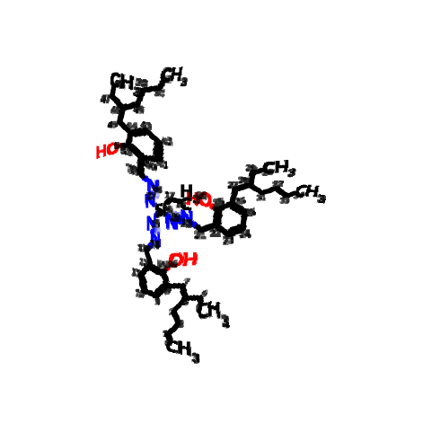 CCCCC(CC)Cc1cccc(C/N=N/[Si](CC)(/N=N/Cc2cccc(CC(CC)CCCC)c2O)/N=N/Cc2cccc(CC(CC)CCCC)c2O)c1O